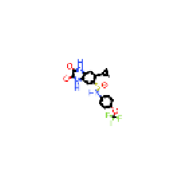 O=c1[nH]c2cc(C3CC3)c([S+]([O-])Nc3ccc(OC(F)(F)F)cc3)cc2[nH]c1=O